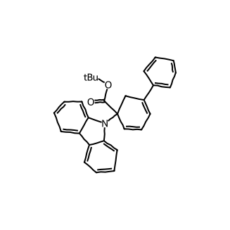 CC(C)(C)OC(=O)C1(n2c3ccccc3c3ccccc32)C=CC=C(c2ccccc2)C1